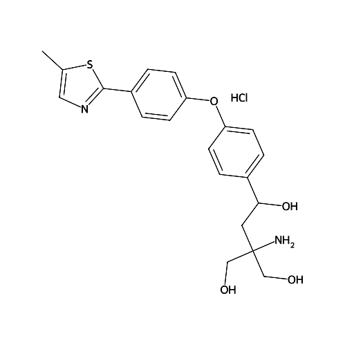 Cc1cnc(-c2ccc(Oc3ccc(C(O)CC(N)(CO)CO)cc3)cc2)s1.Cl